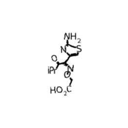 CC(C)C(=O)/C(=N\OCC(=O)O)c1csc(N)n1